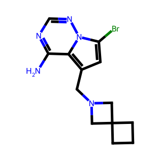 Nc1ncnn2c(Br)cc(CN3CC4(CCC4)C3)c12